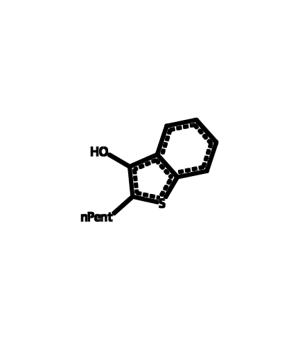 CCCCCc1sc2ccccc2c1O